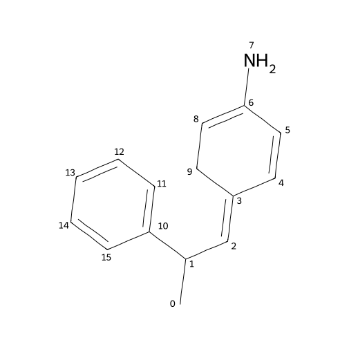 CC(C=C1C=CC(N)=CC1)c1ccccc1